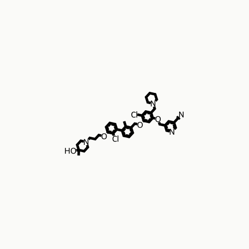 Cc1c(COc2cc(OCc3cncc(C#N)c3)c(CN3CCCCC3)cc2Cl)cccc1-c1cccc(OCCCN2CCC(C)(O)CC2)c1Cl